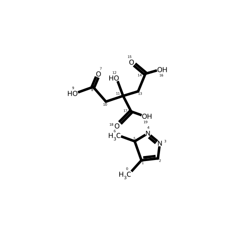 CC1=CN=NC1C.O=C(O)CC(O)(CC(=O)O)C(=O)O